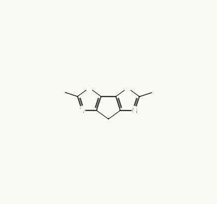 Ic1nc2c(s1)-c1sc(I)nc1C2